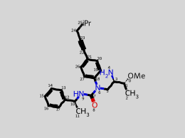 CO[C@H](C)[C@H](N)CN(C(=O)N[C@@H](C)c1ccccc1)c1ccc(C#CCC(C)C)cc1